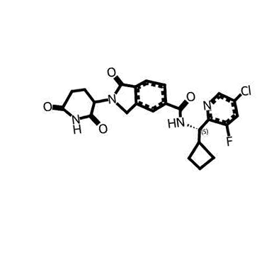 O=C1CCC(N2Cc3cc(C(=O)N[C@H](c4ncc(Cl)cc4F)C4CCC4)ccc3C2=O)C(=O)N1